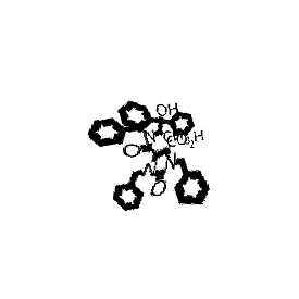 CC(N(Cc1ccccc1)C(=O)[C@H]1[C@@H](C(=O)O)N(Cc2ccccc2)C(=O)N1Cc1ccccc1)C(O)(c1ccccc1)c1ccccc1